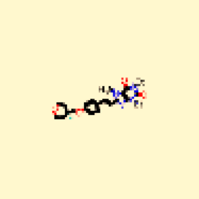 CCn1c(=O)c2c(nc(C=Cc3ccc(OCC4(F)CCOCC4)cc3)n2C)n(CC)c1=O